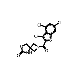 O=C1NC2(CO1)CN(C(=O)c1sc3cc(Cl)cc(Cl)c3c1Cl)C2